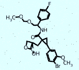 COCOCC(NC(=O)C1(CC2(CO)COC2)CC1c1ccc(Br)c(OC)c1)c1ccc(F)cc1